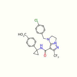 O=C(O)c1ccc(C2(NC(=O)c3c(C(F)(F)F)nn4c3N(Cc3ccc(Cl)cc3)CC4)CC2)cc1